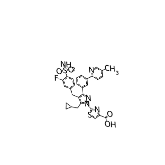 Cc1ccc(-c2cccc(-c3nn(-c4nc(C(=O)O)cs4)c(CC4CC4)c3Cc3ccc(S(N)(=O)=O)c(F)c3)c2)nc1